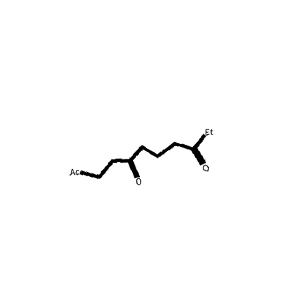 CCC(=O)CCCC(=O)CCC(C)=O